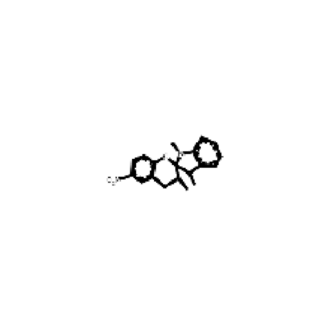 CC1Cc2cc([N+](=O)[O-])ccc2OC12C(C)c1ccccc1N2C